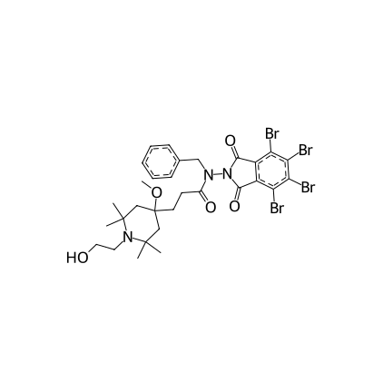 COC1(CCC(=O)N(Cc2ccccc2)N2C(=O)c3c(Br)c(Br)c(Br)c(Br)c3C2=O)CC(C)(C)N(CCO)C(C)(C)C1